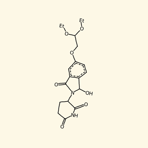 CCOC(COc1ccc2c(c1)C(=O)N(C1CCC(=O)NC1=O)C2O)OCC